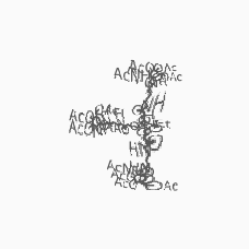 CCC(=O)NC(COCCC(=O)NCCCNOC1OC(COC(C)=O)C(OC(C)=O)C(OC(C)=O)C1NC(C)=O)(COCCC(=O)NCCCNOC1OC(COC(C)=O)C(OC(C)=O)C(OC(C)=O)C1NC(C)=O)COCCC(=O)NCCCNOC1OC(COC(C)=O)C(OC(C)=O)C(OC(C)=O)C1NC(C)=O